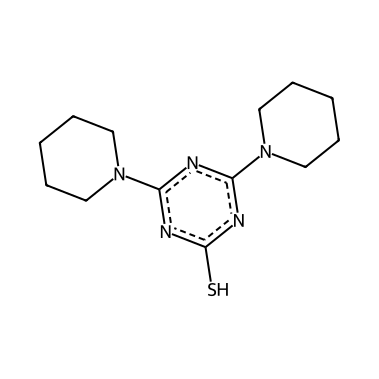 Sc1nc(N2CCCCC2)nc(N2CCCCC2)n1